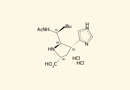 CCC(C)[C@H](NC(C)=O)[C@@H]1N[C@@H](C(=O)O)C[C@H]1c1c[nH]cn1.Cl.Cl